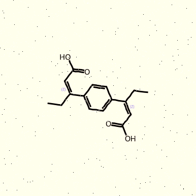 CC/C(=C/C(=O)O)c1ccc(/C(=C\C(=O)O)CC)cc1